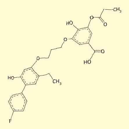 CCC(=O)Oc1cc(C(=O)O)cc(OCCCOc2cc(O)c(-c3ccc(F)cc3)cc2CC)c1O